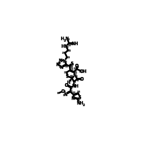 CO/N=C(\C(=O)N[C@@H]1C(=O)N2C(C(=O)O)=C(C(=S)c3nnnn3CCCNC(=N)N)CS[C@@H]12)c1csc(N)n1